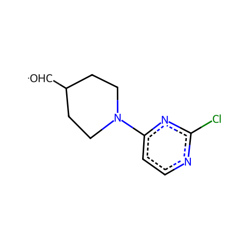 O=[C]C1CCN(c2ccnc(Cl)n2)CC1